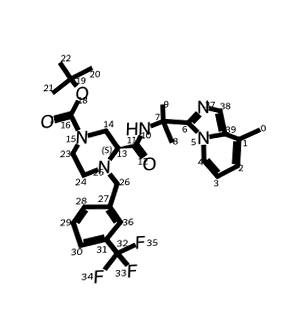 Cc1cccn2c(C(C)(C)NC(=O)[C@@H]3CN(C(=O)OC(C)(C)C)CCN3Cc3cccc(C(F)(F)F)c3)ncc12